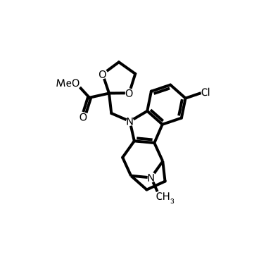 COC(=O)C1(Cn2c3c(c4cc(Cl)ccc42)C2CCC(C3)N2C)OCCO1